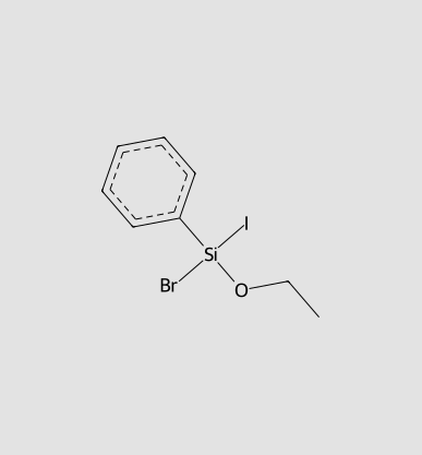 CCO[Si](Br)(I)c1ccccc1